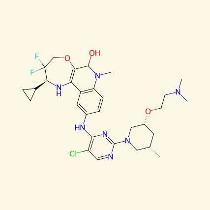 C[C@H]1C[C@@H](OCCN(C)C)CN(c2ncc(Cl)c(Nc3ccc4c(c3)C3=C(OCC(F)(F)[C@H](C5CC5)N3)C(O)N4C)n2)C1